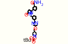 CC(C)(C)OC(=O)ON1CCC(COc2cnc(-c3cccc(Cn4nc(-c5cccc(C(N)=O)c5)ccc4=O)c3)nc2)CC1